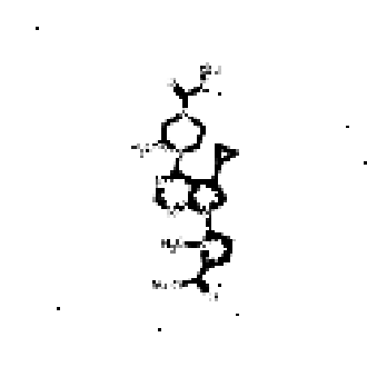 COC(=O)c1ccc(-n2cc(C3CC3)c3c(N4CCN(C(=O)OC(C)(C)C)C[C@@H]4C)ncnc32)n1C